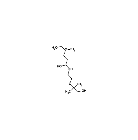 CC[C@@H](C)CCC(O)NCCOC(C)(C)CO